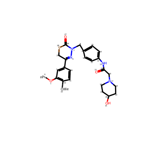 CCCOc1cc(C2=NN(Cc3ccc(NC(=O)CN4CCC(O)CC4)cc3)C(=O)SC2)ccc1OC